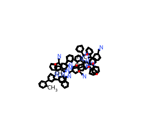 Cc1ccccc1-c1ccc2c(c1)c1ccccc1n2-c1ccc(C#N)cc1-c1nc(-c2ccccc2)nc(-c2cc(C#N)c(-c3cc4c5ccccc5n(-c5ccc(C#N)cc5C5=NC(c6ccccc6)=NC(c6cc(C#N)ccc6-n6c7ccccc7c7ccc(-c8ccccc8C)cc76)N5)c4cc3-c3ccccc3C)cc2-n2c3ccccc3c3cc(C4C=CC=CC4C)ccc32)n1